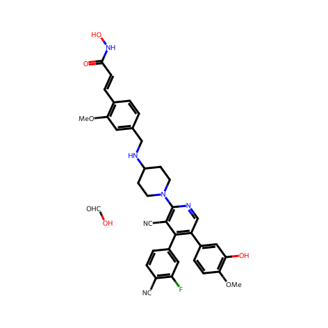 COc1ccc(-c2cnc(N3CCC(NCc4ccc(/C=C/C(=O)NO)c(OC)c4)CC3)c(C#N)c2-c2ccc(C#N)c(F)c2)cc1O.O=CO